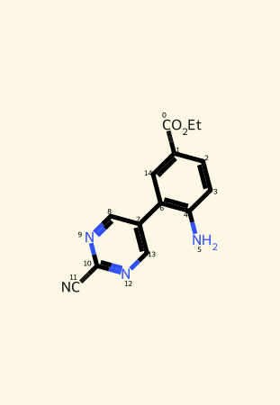 CCOC(=O)c1ccc(N)c(-c2cnc(C#N)nc2)c1